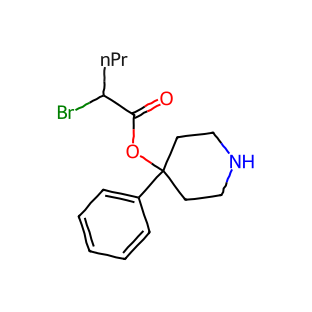 CCCC(Br)C(=O)OC1(c2ccccc2)CCNCC1